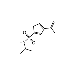 C=C(C)C1=CCC(S(=O)(=O)NC(C)C)=C1